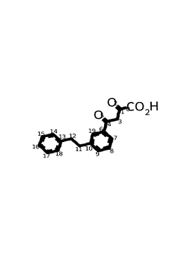 O=C(O)C(=O)CC(=O)c1cccc(CCc2ccccc2)c1